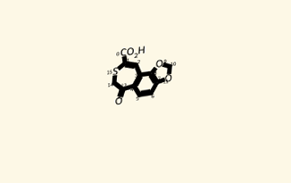 O=C(O)C1=Cc2c(ccc3c2OCO3)C(=O)CS1